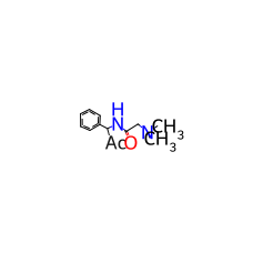 CC(=O)C(NC(=O)CN(C)C)c1ccccc1